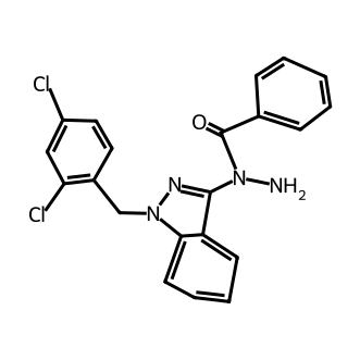 NN(C(=O)c1ccccc1)c1nn(Cc2ccc(Cl)cc2Cl)c2ccccc12